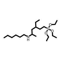 CCCCCCNC(C)CC(CC)CC[Si](OCC)(OCC)OCC